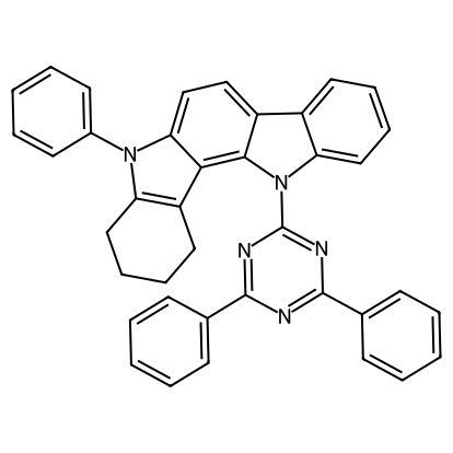 c1ccc(-c2nc(-c3ccccc3)nc(-n3c4ccccc4c4ccc5c(c6c(n5-c5ccccc5)CCCC6)c43)n2)cc1